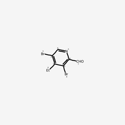 CCc1c(Br)cnc(C=O)c1Br